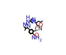 Cc1cnc(Nc2cnn(C3CCOC(C)C3)c2)nc1-c1ccc(C(N)=O)c(CC#N)c1